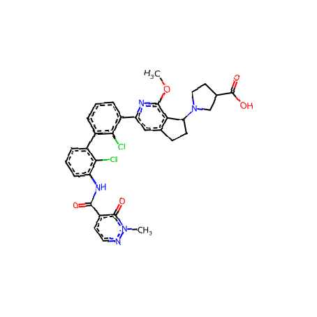 COc1nc(-c2cccc(-c3cccc(NC(=O)c4ccnn(C)c4=O)c3Cl)c2Cl)cc2c1C(N1CCC(C(=O)O)C1)CC2